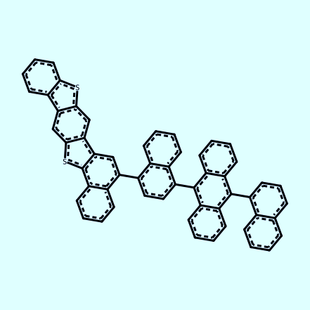 c1ccc2c(-c3c4ccccc4c(-c4ccc(-c5cc6c7cc8sc9ccccc9c8cc7sc6c6ccccc56)c5ccccc45)c4ccccc34)cccc2c1